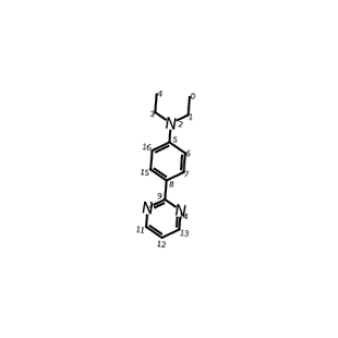 CCN(CC)c1ccc(-c2ncccn2)cc1